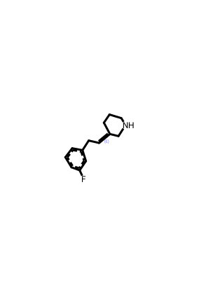 Fc1cccc(C/C=C2\CCCNC2)c1